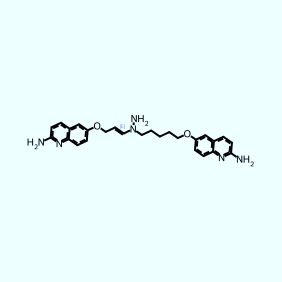 Nc1ccc2cc(OC/C=C/N(N)CCCCCOc3ccc4nc(N)ccc4c3)ccc2n1